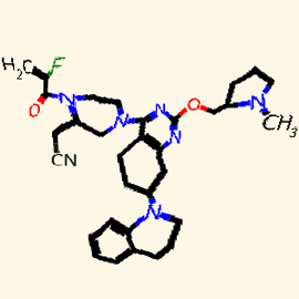 C=C(F)C(=O)N1CCN(c2nc(OCC3CCCN3C)nc3c2CCC(N2CCCc4ccccc42)C3)CC1CC#N